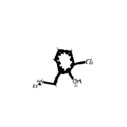 CCNCc1cccc(Cl)c1O